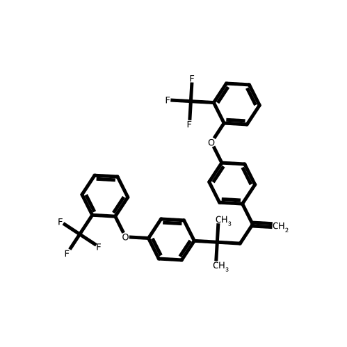 C=C(CC(C)(C)c1ccc(Oc2ccccc2C(F)(F)F)cc1)c1ccc(Oc2ccccc2C(F)(F)F)cc1